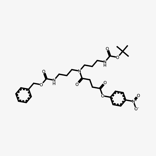 CC(C)(C)OC(=O)NCCCN(CCCNC(=O)OCc1ccccc1)C(=O)CCC(=O)Oc1ccc([N+](=O)[O-])cc1